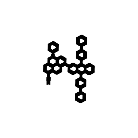 N#Cc1ccc2c3c1ccc1c(-c4ccc5c(-c6ccc(-c7ccccc7)cc6)c6ccccc6c(-c6ccc(-c7ccccc7)cc6)c5c4)ccc(c13)N(c1ccccc1)C2